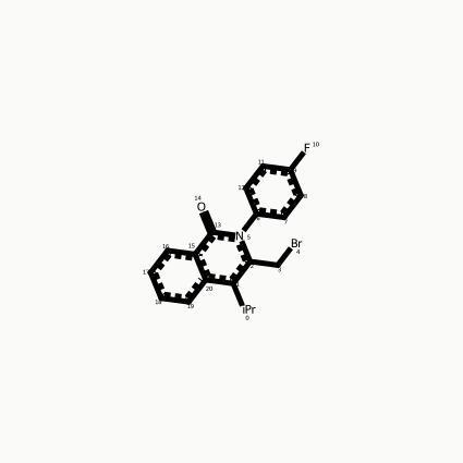 CC(C)c1c(CBr)n(-c2ccc(F)cc2)c(=O)c2ccccc12